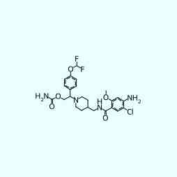 COc1cc(N)c(Cl)cc1C(=O)NCC1CCN(C(COC(N)=O)c2ccc(OC(F)F)cc2)CC1